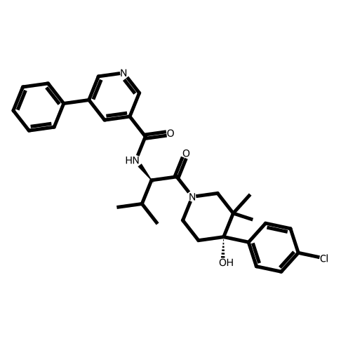 CC(C)[C@@H](NC(=O)c1cncc(-c2ccccc2)c1)C(=O)N1CC[C@](O)(c2ccc(Cl)cc2)C(C)(C)C1